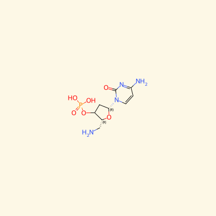 NC[C@H]1O[C@@H](n2ccc(N)nc2=O)CC1OP(=O)(O)O